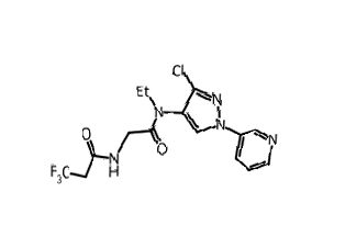 CCN(C(=O)CNC(=O)CC(F)(F)F)c1cn(-c2cccnc2)nc1Cl